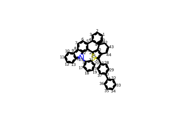 c1cccc(-c2ccc3c4ccccc4n(-c4ccccc4)c3c2-c2sc(-c3ccc(-c4ccccc4)cc3)c3c2CCC=C3)c#1